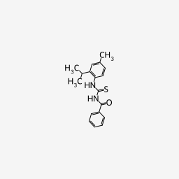 Cc1ccc(NC(=S)NC(=O)c2ccccc2)c(C(C)C)c1